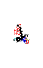 CC(C)c1nc(N(C)S(C)(=O)=O)nc(-c2ccc(F)cc2)c1/C=C/C(O)CC(O)CC1OCCO1